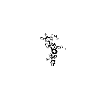 COc1ccc(S(=O)(=O)N[C@H]2CCOC2)cc1C(=O)Nc1nc(C)c(F)c(Cl)n1